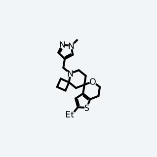 CCc1cc2c(s1)CCOC21CCN(Cc2cnn(C)c2)C2(CCC2)C1